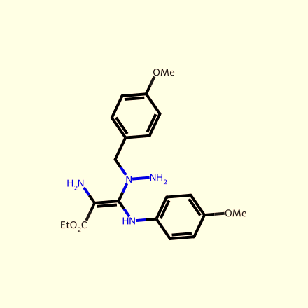 CCOC(=O)/C(N)=C(\Nc1ccc(OC)cc1)N(N)Cc1ccc(OC)cc1